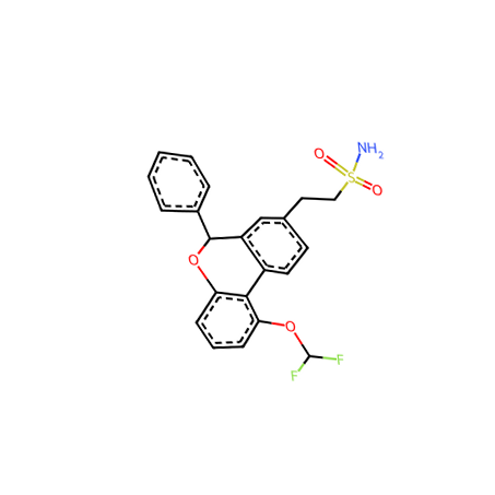 NS(=O)(=O)CCc1ccc2c(c1)C(c1ccccc1)Oc1cccc(OC(F)F)c1-2